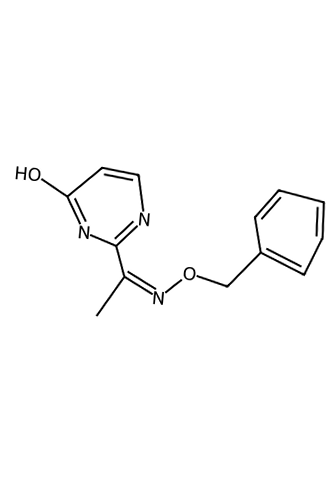 CC(=NOCc1ccccc1)c1nccc(O)n1